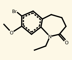 CCN1C(=O)CCCc2cc(Br)c(OC)cc21